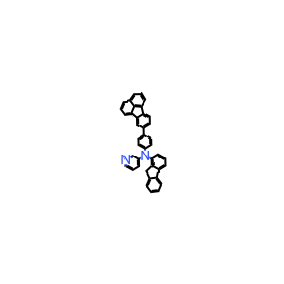 c1cncc(N(c2ccc(-c3ccc4c(c3)-c3cccc5cccc-4c35)cc2)c2cccc3c2Cc2ccccc2-3)c1